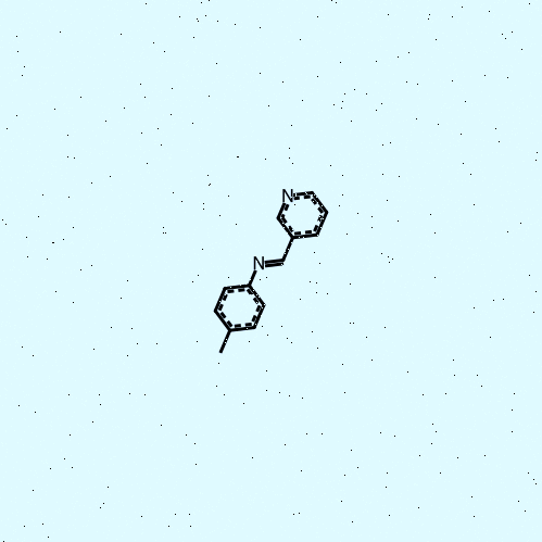 Cc1ccc(/N=C/c2cccnc2)cc1